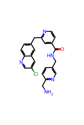 NCc1ccc(CNC(=O)c2ccnc(Cc3ccc4ncc(Cl)cc4c3)c2)cn1